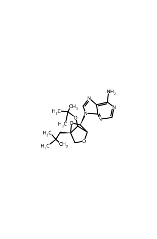 CC(C)(C)C[C@]12COC(C1OC(C)(C)C)[C@H](n1cnc3c(N)ncnc31)O2